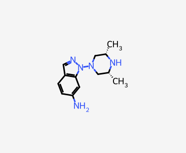 C[C@@H]1CN(n2ncc3ccc(N)cc32)C[C@H](C)N1